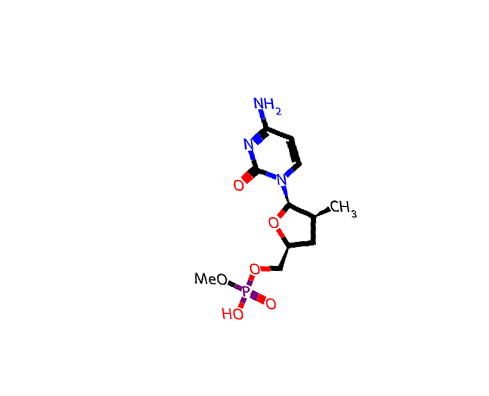 COP(=O)(O)OC[C@@H]1C[C@H](C)[C@H](n2ccc(N)nc2=O)O1